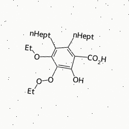 CCCCCCCc1c(CCCCCCC)c(C(=O)O)c(O)c(OOCC)c1OCC